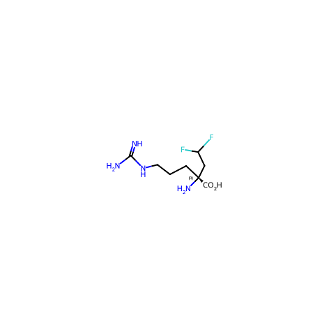 N=C(N)NCCC[C@@](N)(CC(F)F)C(=O)O